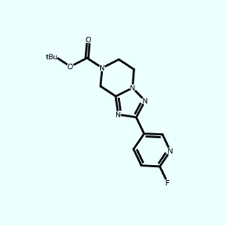 CC(C)(C)OC(=O)N1CCn2nc(-c3ccc(F)nc3)nc2C1